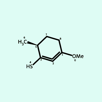 COC1=C=C(S)[C@@H](C)CC1